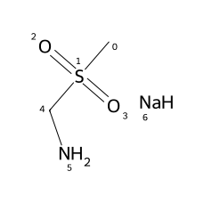 CS(=O)(=O)CN.[NaH]